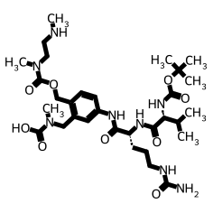 CNCCN(C)C(=O)OCc1ccc(NC(=O)[C@@H](CCCNC(N)=O)NC(=O)[C@H](NC(=O)OC(C)(C)C)C(C)C)cc1CN(C)C(=O)O